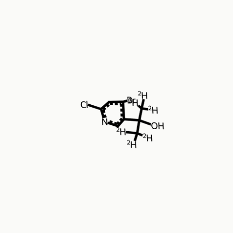 [2H]C([2H])([2H])C(O)(c1cnc(Cl)cc1Br)C([2H])([2H])[2H]